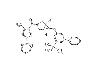 Cc1nc(-c2ncccn2)sc1C(=O)N1C[C@@H]2[C@H](C1)[C@@H]2Oc1cc(C(C)(C)N)cc(-c2ccccc2)n1